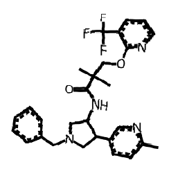 Cc1ccc(C2CN(Cc3ccccc3)CC2NC(=O)C(C)(C)COc2ncccc2C(F)(F)F)cn1